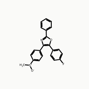 C[S+]([O-])c1ccc(-c2nc(-c3ccccc3)oc2-c2ccc(F)cc2)cc1